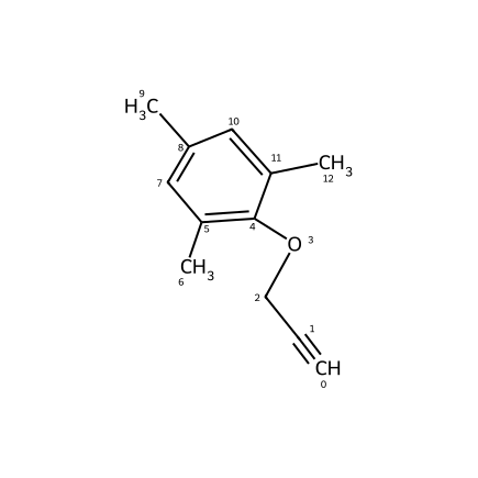 C#CCOc1c(C)cc(C)cc1C